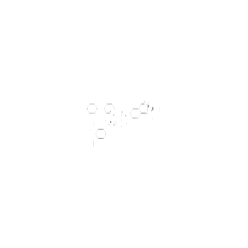 Cn1ncc2cc(N(Cc3ccc(-c4ccc(F)cc4)cn3)C(=O)CN[S+]([O-])c3c(F)c(F)c(F)c(F)c3F)ccc2c1=O